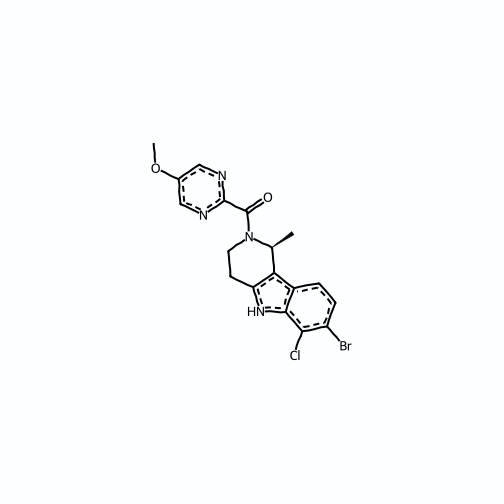 COc1cnc(C(=O)N2CCc3[nH]c4c(Cl)c(Br)ccc4c3[C@@H]2C)nc1